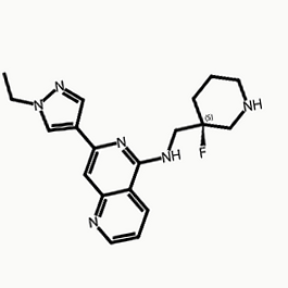 CCn1cc(-c2cc3ncccc3c(NC[C@]3(F)CCCNC3)n2)cn1